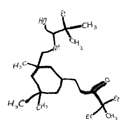 CCC(C)(CC)C(=O)CCC1CC(C)(C)CC(C)(CNC(O)C(C)(C)CC)C1